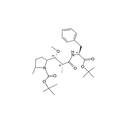 CO[C@@H](C1CCC(C)N1C(=O)OC(C)(C)C)[C@@H](C)C(=O)N[C@@H](Cc1ccccc1)C(=O)OC(C)(C)C